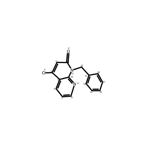 O=c1cc(Cl)c2cccnc2n1Cc1ccccc1